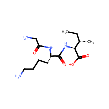 CC[C@H](C)[C@H](NC(=O)[C@H](CCCCN)NC(=O)CN)C(=O)O